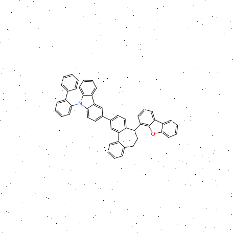 c1ccc(-c2ccccc2-n2c3ccccc3c3cc(-c4ccc5c(c4)-c4ccccc4CCC5c4cccc5c4oc4ccccc45)ccc32)cc1